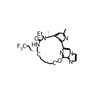 CCN1C(=O)N[C@@H](CCC(F)(F)F)CCCCCOc2nc(cn3ccnc23)-c2cc(cc(C)n2)[C@H]1C